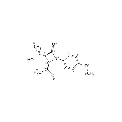 COc1ccc(N2C(=O)[C@H]([C@@H](C)O)[C@@H]2C(C)=O)cc1